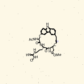 COOC[C@@H]1C/C=C/Cc2ccc3[nH]c4ccc(cc4c3c2)CC(NC(C)=O)C(=O)N[C@@H](CCCNC(=N)NCl)C(=O)N1